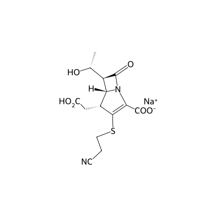 C[C@@H](O)[C@H]1C(=O)N2C(C(=O)[O-])=C(SCCC#N)[C@H](CC(=O)O)[C@H]12.[Na+]